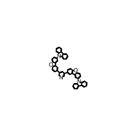 c1ccc2c(c1)c1ccccc1n2-c1ccc2oc3ccc(-c4cncc(-c5ccc6oc7ccc(-n8c9ccccc9c9ccccc98)cc7c6c5)c4)cc3c2c1